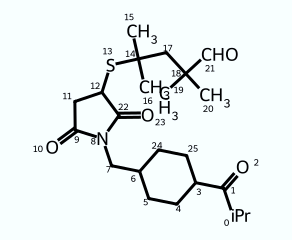 CC(C)C(=O)C1CCC(CN2C(=O)CC(SC(C)(C)CC(C)(C)C=O)C2=O)CC1